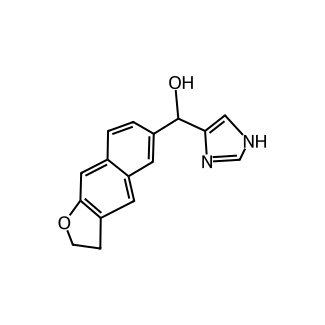 OC(c1ccc2cc3c(cc2c1)CCO3)c1c[nH]cn1